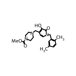 COC(=O)N1CCN(Cc2ccn(Cc3cc(C)ccc3C)c(=O)c2O)CC1